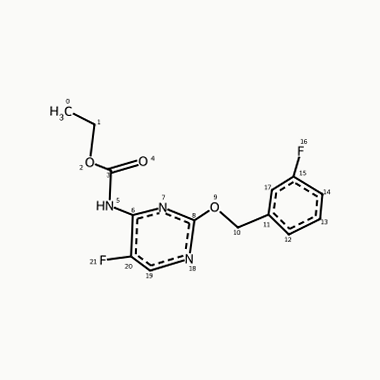 CCOC(=O)Nc1nc(OCc2cccc(F)c2)ncc1F